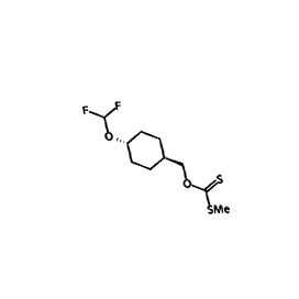 CSC(=S)OC[C@H]1CC[C@H](OC(F)F)CC1